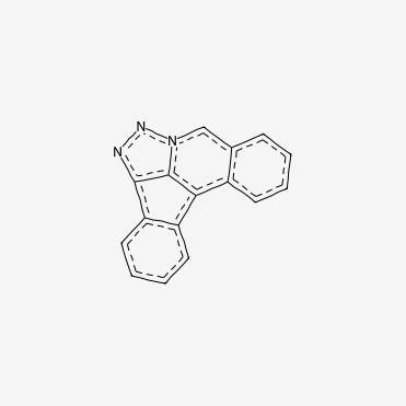 c1ccc2c(c1)cn1nnc3c4ccccc4c2c31